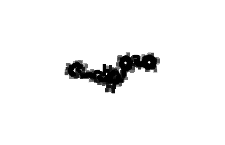 c1ccc(COc2cccc(CN3C[C@@H]4[C@@H](COCCCN5CCCCC5)[C@@H]4C3)c2)cc1